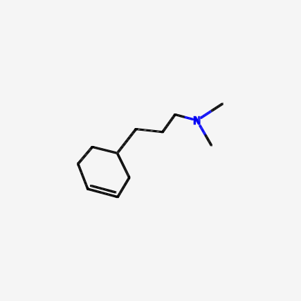 CN(C)CCCC1CC=CCC1